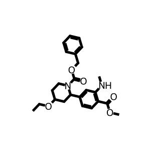 CCOC1CCN(C(=O)OCc2ccccc2)C(c2ccc(C(=O)OC)c(NC)c2)C1